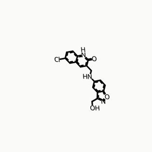 O=c1[nH]c2ccc(Cl)cc2cc1CNc1ccc2onc(CO)c2c1